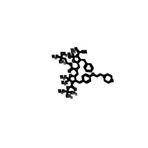 CC(C)(C)OC(=O)N1C(Cc2ccc(OCCN3CCOCC3)cc2)C(CN(C[C@H]2OC(C)(C)N(C(=O)O)[C@H]2Cc2ccccc2)C(=O)OCC[Si](C)(C)C)OC1(C)C